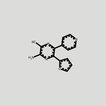 N#Cc1nc(-c2ccncc2)c(-c2ccco2)nc1N